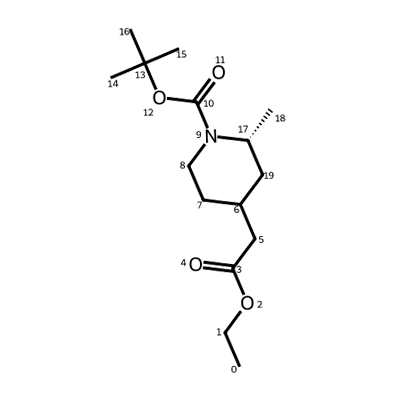 CCOC(=O)CC1CCN(C(=O)OC(C)(C)C)[C@H](C)C1